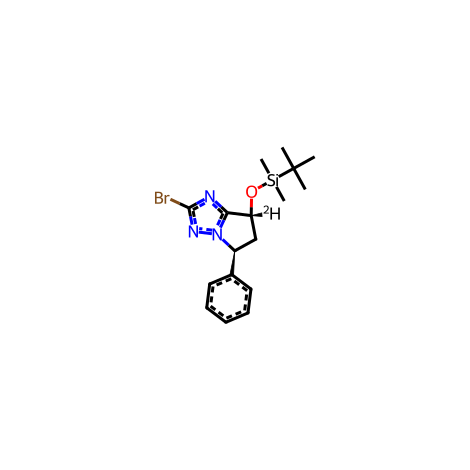 [2H][C@@]1(O[Si](C)(C)C(C)(C)C)C[C@@H](c2ccccc2)n2nc(Br)nc21